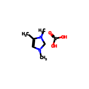 CC1=CN(C)CN1C.O=[Si](O)O